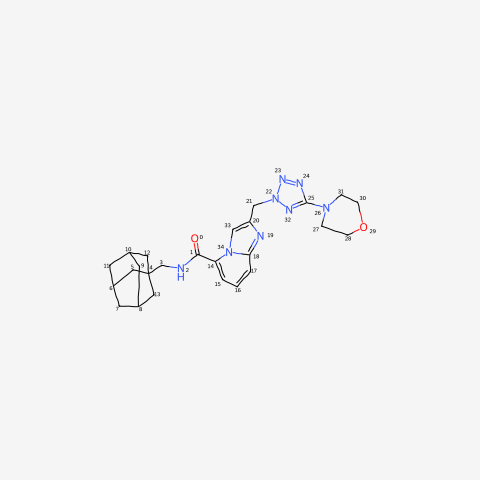 O=C(NCC12CC3CC(CC(C3)C1)C2)c1cccc2nc(Cn3nnc(N4CCOCC4)n3)cn12